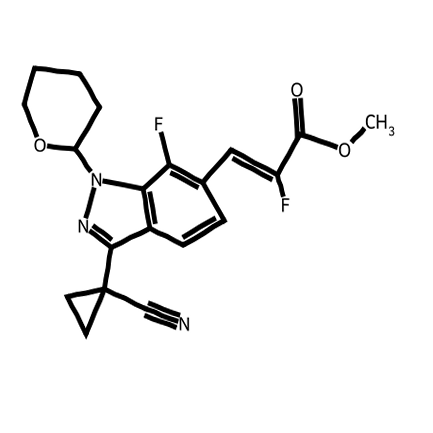 COC(=O)/C(F)=C/c1ccc2c(C3(C#N)CC3)nn(C3CCCCO3)c2c1F